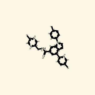 Cc1ccc(-n2ccc3c(-c4ccc(C)cn4)cc(C(=O)NCc4cnc(C)cn4)cc32)cc1